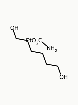 CCOC(N)=O.OCCCCCCO